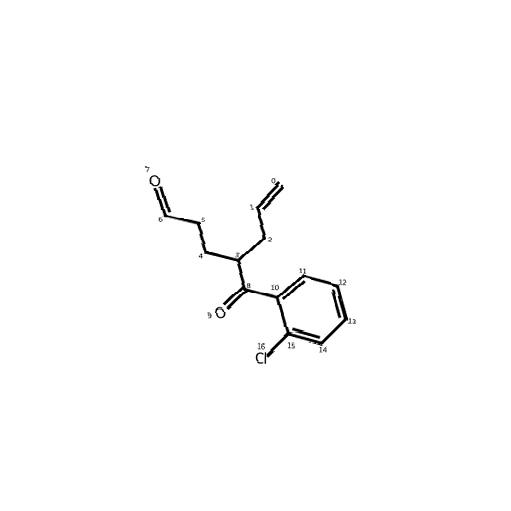 C=CCC(CCC=O)C(=O)c1ccccc1Cl